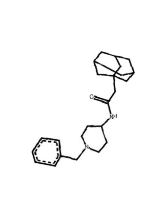 O=C(CC12CC3CC(CC(C3)C1)C2)NC1CCN(Cc2ccccc2)CC1